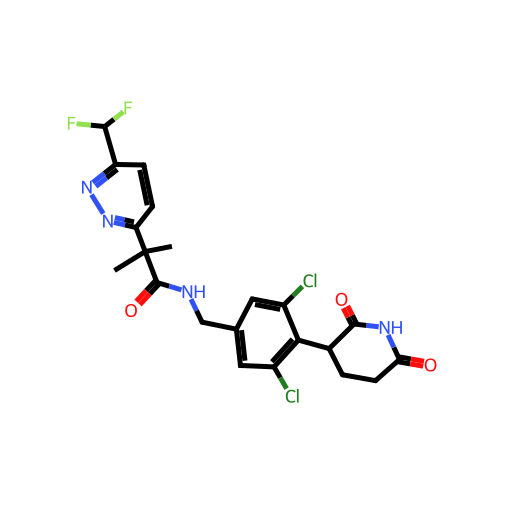 CC(C)(C(=O)NCc1cc(Cl)c(C2CCC(=O)NC2=O)c(Cl)c1)c1ccc(C(F)F)nn1